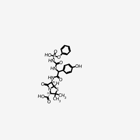 CC1(C)S[C@@H]2[C@H](NC(=O)C(NC(=O)NP(=O)(O)Oc3ccccc3)c3ccc(O)cc3)C(=O)N2[C@H]1C(=O)O